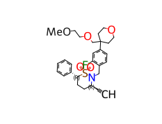 C#C[C@H]1CC[C@H](c2ccccc2)S(=O)(=O)N1Cc1ccc(C2(COCCOC)CCOCC2)cc1F